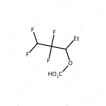 CCC(OC(=O)O)C(F)(F)C(F)F